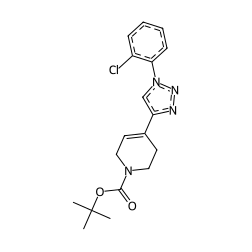 CC(C)(C)OC(=O)N1CC=C(c2cn(-c3ccccc3Cl)nn2)CC1